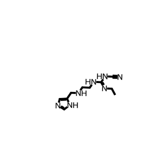 CCN=C(NC#N)NCCNCc1cnc[nH]1